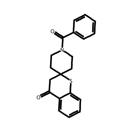 O=C1CC2(CCN(C(=O)c3ccccc3)CC2)Sc2ccccc21